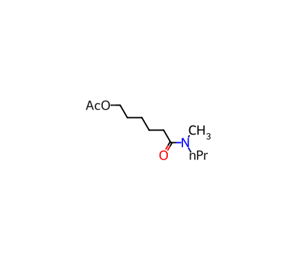 CCCN(C)C(=O)CCCCCOC(C)=O